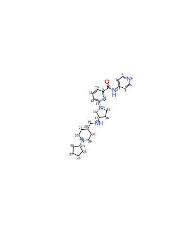 O=C(Nc1ccncc1)c1cccc(N2CC[C@@H](NCC3CCN(C4CCCC4)CC3)C2)n1